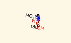 CC(C)(C)c1cc(OC[C@@H](O)CN2CCN(c3ccccc3C(=O)O)CC2)ccc1O